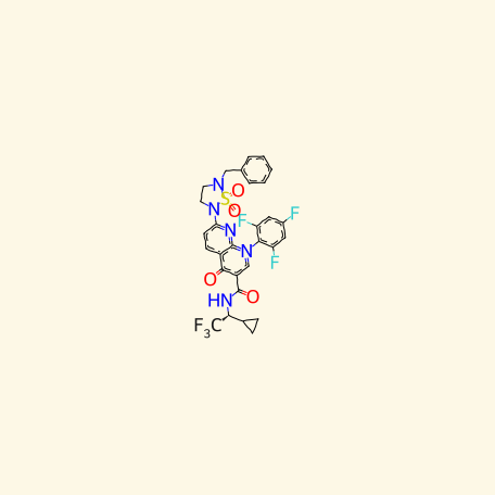 O=C(N[C@@H](C1CC1)C(F)(F)F)c1cn(-c2c(F)cc(F)cc2F)c2nc(N3CCN(Cc4ccccc4)S3(=O)=O)ccc2c1=O